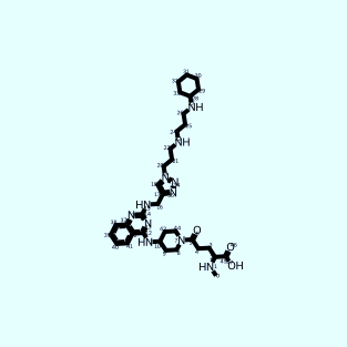 CNC(CCC(=O)N1CCC(Nc2nc(NCc3cn(CCCNCCCNC4CCCCC4)nn3)nc3ccccc23)CC1)C(=O)O